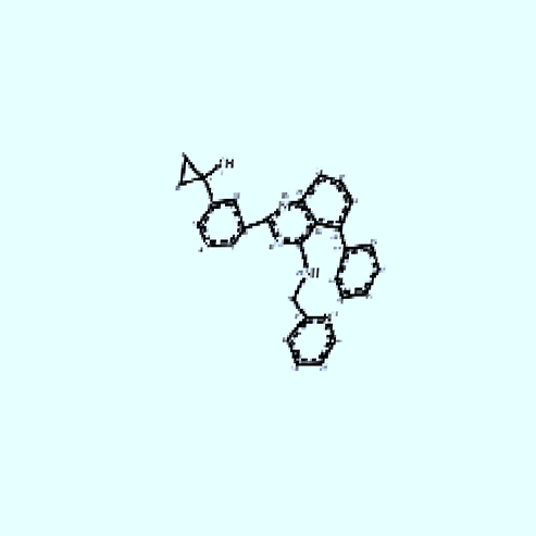 N#CC1(c2cncc(-c3nc(NCc4ccccn4)c4c(-c5ccccc5)cccc4n3)c2)CC1